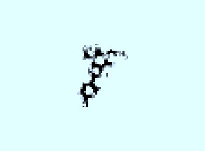 CCn1c(=O)c2[nH]c(-c3ccc(Cl)nc3)nc2n(CC)c1=O